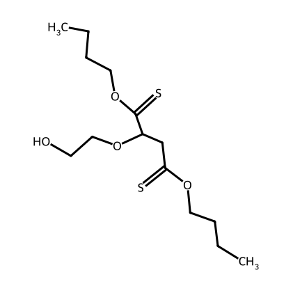 CCCCOC(=S)CC(OCCO)C(=S)OCCCC